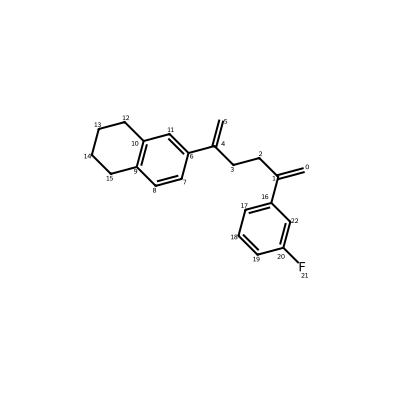 C=C(CCC(=C)c1ccc2c(c1)CCCC2)c1cccc(F)c1